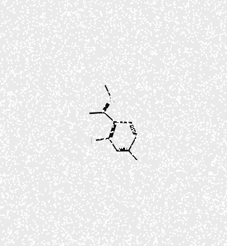 C/N=C(\C)c1ccc(C)cc1F